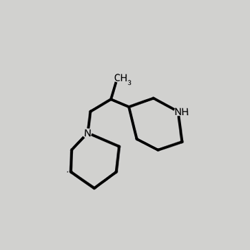 CC(CN1C[CH]CCC1)C1CCCNC1